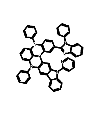 c1ccc(N2c3ccc(-c4nc5ccccc5n4-c4ccccc4)cc3B3c4cc5c(cc4N(c4ccccc4)c4cccc2c43)c2ccccc2n5-c2ccccn2)cc1